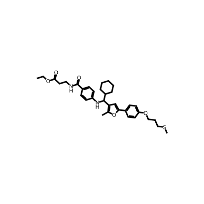 CCOC(=O)CCNC(=O)c1ccc(NC(c2cc(-c3ccc(OCCCSC)cc3)oc2C)C2CCCCC2)cc1